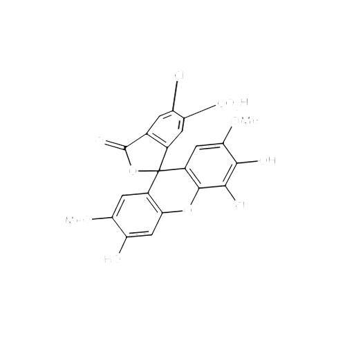 COc1cc2c(cc1O)Oc1c(cc(OC)c(O)c1Cl)C21OC(=O)c2cc(Cl)c(C(=O)O)cc21